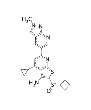 Cn1cc2cc(-c3cc(C4CC4)c4c(N)c([S@+]([O-])C5CCC5)sc4n3)cnc2n1